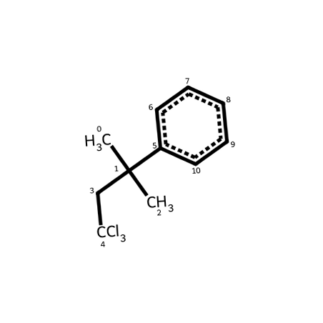 CC(C)(CC(Cl)(Cl)Cl)c1ccccc1